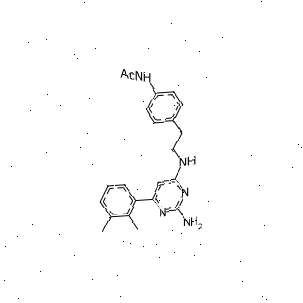 CC(=O)Nc1ccc(CCNc2cc(-c3cccc(C)c3C)nc(N)n2)cc1